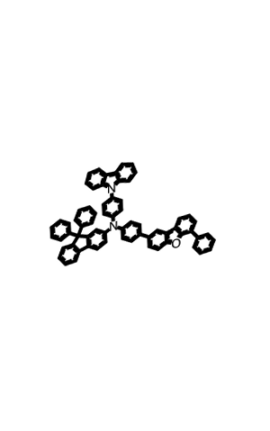 c1ccc(-c2cccc3c2oc2ccc(-c4ccc(N(c5ccc(-n6c7ccccc7c7ccccc76)cc5)c5ccc6c(c5)C(c5ccccc5)(c5ccccc5)c5ccccc5-6)cc4)cc23)cc1